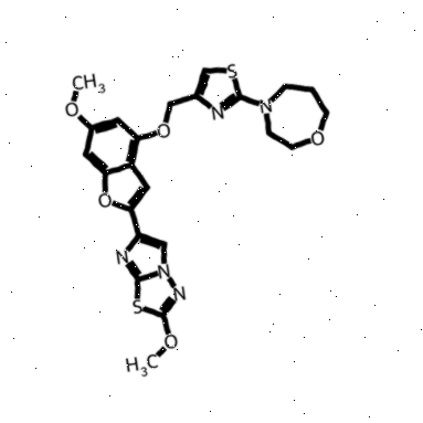 COc1cc(OCc2csc(N3CCCOCC3)n2)c2cc(-c3cn4nc(OC)sc4n3)oc2c1